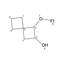 CCOC1C(O)CC12CCC2